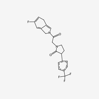 O=C(CN1CCC(c2ccc(C(F)(F)F)cc2)C1=O)N1C=C2CC=C(F)C=C2C1